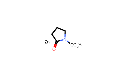 O=C(O)N1CCCC1=O.[Zn]